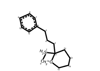 C[SiH2]C1(CCCc2ccccc2)CCCCO1